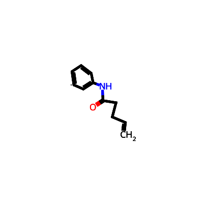 C=CCCC(=O)Nc1c[c]ccc1